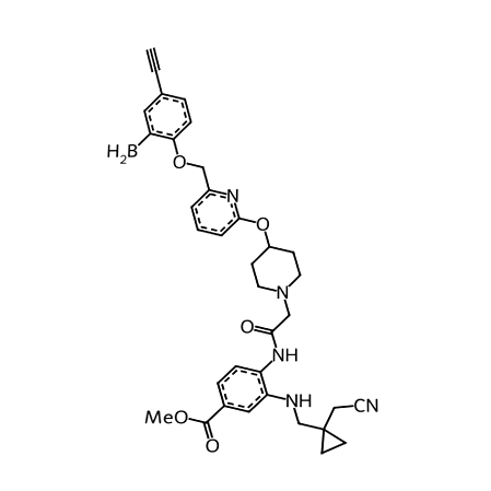 Bc1cc(C#C)ccc1OCc1cccc(OC2CCN(CC(=O)Nc3ccc(C(=O)OC)cc3NCC3(CC#N)CC3)CC2)n1